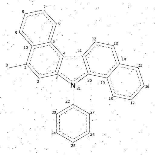 Cc1cc2c(c3ccccc13)c1ccc3ccccc3c1n2-c1ccccc1